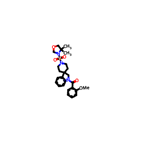 COc1ccccc1C(=O)NCC1(c2ccccc2)CCN(S(=O)(=O)N2COCC2(C)C)CC1